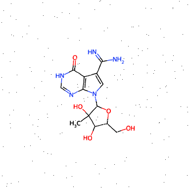 CC1(O)C(O)C(CO)OC1n1cc(C(=N)N)c2c(=O)[nH]cnc21